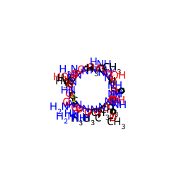 CCCC[C@H]1C(=O)N(C)[C@@H](CCCC)C(=O)N[C@@H](CCCNC(=N)N)C(=O)N[C@H](C(=O)NCC(N)=O)CSCC(=O)N[C@@H](Cc2ccc(O)cc2)C(=O)N(C)[C@@H](C)C(=O)N[C@@H](CC(N)=O)C(=O)N2CCC[C@H]2C(=O)N[C@@H](CCN)C(=O)N[C@@H](CC(C)C)C(=O)N2C[C@H](O)C[C@H]2C(=O)N[C@@H](Cc2c[nH]c3ccccc23)C(=O)N[C@@H](CO)C(=O)NC(Cc2c(-c3ccc(OCC)cc3)[nH]c3ccccc23)C(=O)N1C